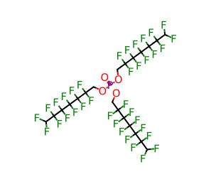 O=P(OCC(F)(F)C(F)(F)C(F)(F)C(F)(F)C(F)(F)C(F)F)(OCC(F)(F)C(F)(F)C(F)(F)C(F)(F)C(F)(F)C(F)F)OCC(F)(F)C(F)(F)C(F)(F)C(F)(F)C(F)(F)C(F)F